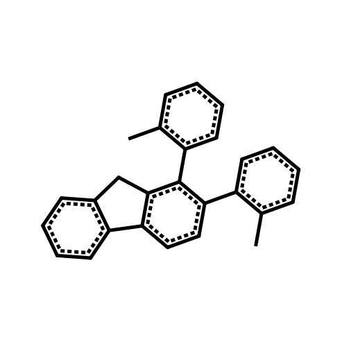 Cc1ccccc1-c1ccc2c(c1-c1ccccc1C)Cc1ccccc1-2